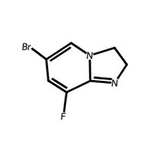 FC1=CC(Br)=CN2CCN=C12